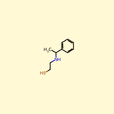 CC(NCCS)c1ccccc1